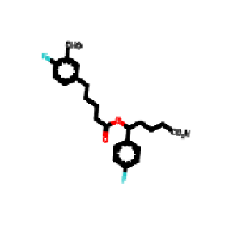 O=Cc1cc(CCCCC(=O)OC(CCCC(=O)O)c2ccc(F)cc2)ccc1F